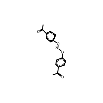 CC(=O)c1ccc([O][Zr][O]c2ccc(C(C)=O)cc2)cc1